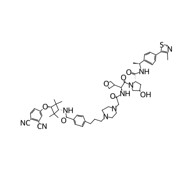 Cc1ncsc1-c1ccc([C@H](C)NC(=O)[C@@H]2C[C@@H](O)CN2C(=O)[C@@H](NC(=O)CN2CCN(CCCc3ccc(C(=O)N[C@H]4C(C)(C)[C@H](Oc5ccc(C#N)c(C#N)c5)C4(C)C)cc3)CC2)C2COC2)cc1